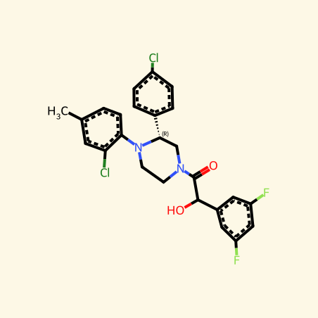 Cc1ccc(N2CCN(C(=O)C(O)c3cc(F)cc(F)c3)C[C@H]2c2ccc(Cl)cc2)c(Cl)c1